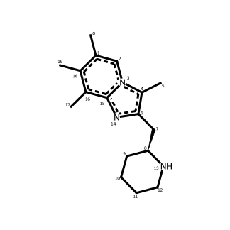 Cc1cn2c(C)c(C[C@@H]3CCCCN3)nc2c(C)c1C